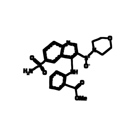 COC(=O)c1ccccc1Nc1c([S+]([O-])N2CCOCC2)cnc2ccc(S(N)(=O)=O)cc12